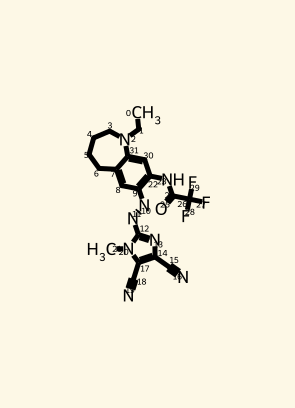 CCN1CCCCc2cc(N=Nc3nc(C#N)c(C#N)n3C)c(NC(=O)C(F)(F)F)cc21